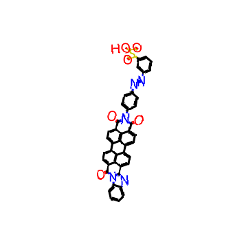 O=C1c2ccc3c4ccc5c(=O)n6c7ccccc7nc6c6ccc(c7ccc(c2c37)C(=O)N1c1ccc(N=Nc2cccc(S(=O)(=O)O)c2)cc1)c4c56